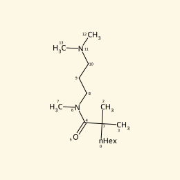 CCCCCCC(C)(C)C(=O)N(C)CCCN(C)C